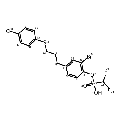 O=P(O)(Oc1ccc(CCCSc2ccc(Cl)cc2)cc1Br)C(F)F